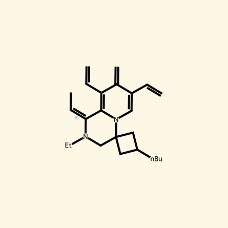 C=CC1=CN2C(=C(C=C)C1=C)/C(=C\C)N(CC)CC21CC(CCCC)C1